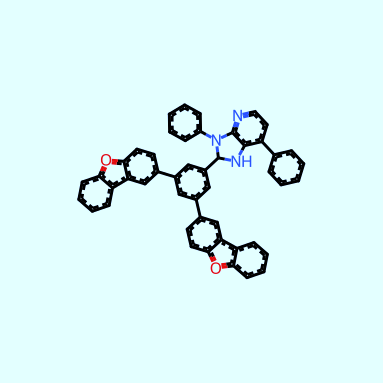 c1ccc(-c2ccnc3c2NC(c2cc(-c4ccc5oc6ccccc6c5c4)cc(-c4ccc5oc6ccccc6c5c4)c2)N3c2ccccc2)cc1